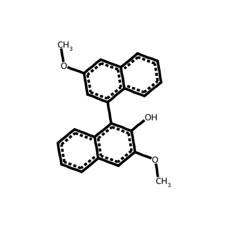 COc1cc(-c2c(O)c(OC)cc3ccccc23)c2ccccc2c1